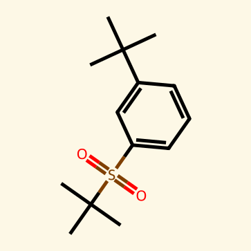 CC(C)(C)c1cccc(S(=O)(=O)C(C)(C)C)c1